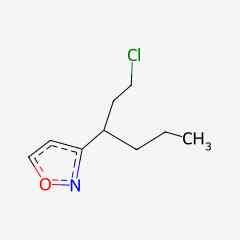 CCCC(CCCl)c1ccon1